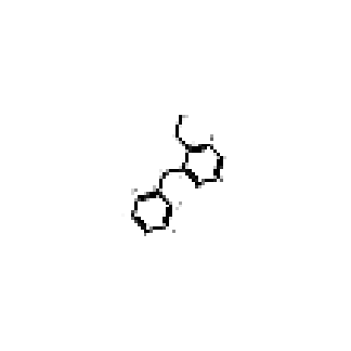 CCc1ccccc1[C]c1ccccc1